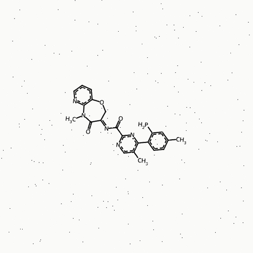 Cc1ccc(-c2nc(C(=O)/N=C3\COc4cccnc4N(C)C3=O)ncc2C)c(P)c1